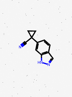 N#CC1(c2ccc3cn[nH]c3c2)CC1